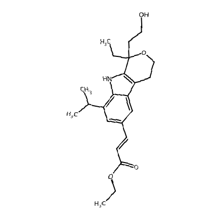 CCOC(=O)C=Cc1cc(C(C)C)c2[nH]c3c(c2c1)CCOC3(CC)CCO